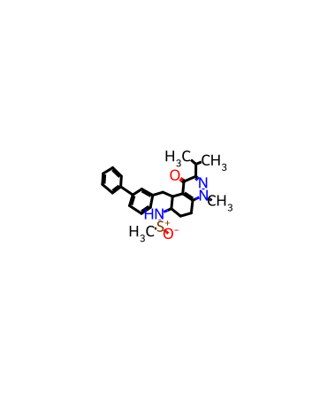 CC(C)c1nn(C)c2c(c1=O)C(Cc1cccc(-c3ccccc3)c1)C(N[S+](C)[O-])CC2